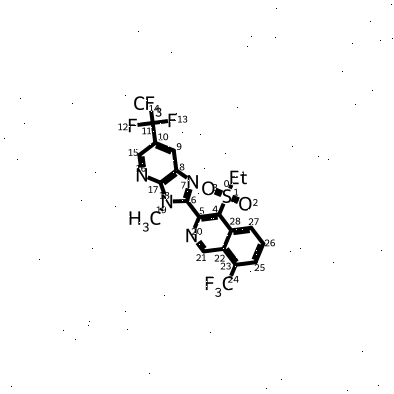 CCS(=O)(=O)c1c(-c2nc3cc(C(F)(F)C(F)(F)F)cnc3n2C)ncc2c(C(F)(F)F)cccc12